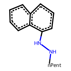 CCCCCNNc1cccc2ccccc12